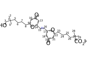 CC(C)(CO)CCCCc1cc(=O)cc(/C=C/c2cc(=O)cc(CCCCC(C)(C)C(=O)O)o2)o1